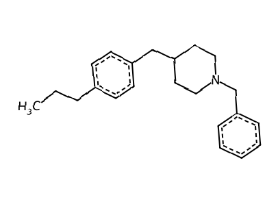 CCCc1ccc(CC2CCN(Cc3ccccc3)CC2)cc1